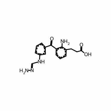 NN=CNc1cccc(C(=O)c2cccc(CCC(=O)O)c2N)c1